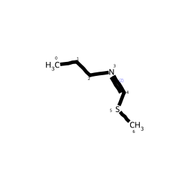 CCC/N=C\SC